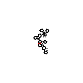 c1ccc(-c2nnc(-c3ccc4c5ccccc5n(-c5cccc(-c6ccccc6-n6c7ccccc7c7cc8c(cc76)oc6ccccc68)c5)c4c3)n2-c2ccccc2)cc1